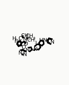 CC(C)N(C(=O)c1cc(F)ccc1Oc1cncnc1N1CC[C@@H](CN2CCC3(CCC(Nc4ccncc4)CC3)CC2)C1)C(C)C